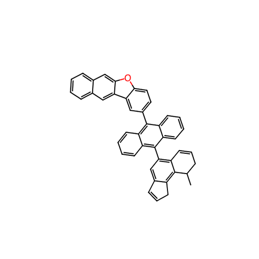 CC1CC=Cc2c(-c3c4ccccc4c(-c4ccc5oc6cc7ccccc7cc6c5c4)c4ccccc34)cc3c(c21)CC=C3